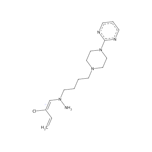 C=C/C(Cl)=C\N(N)CCCCN1CCN(c2ncccn2)CC1